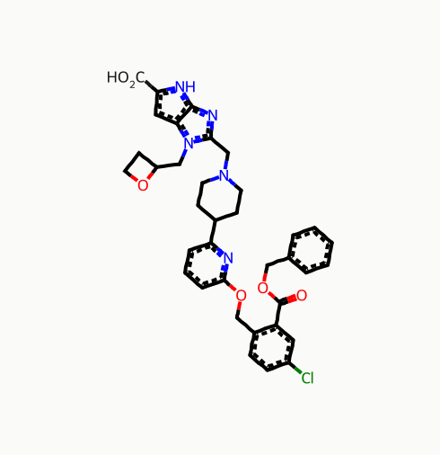 O=C(O)c1cc2c(nc(CN3CCC(c4cccc(OCc5ccc(Cl)cc5C(=O)OCc5ccccc5)n4)CC3)n2CC2CCO2)[nH]1